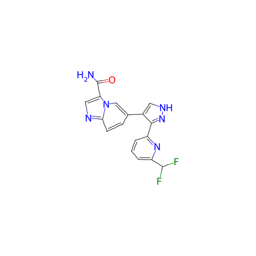 NC(=O)c1cnc2ccc(-c3c[nH]nc3-c3cccc(C(F)F)n3)cn12